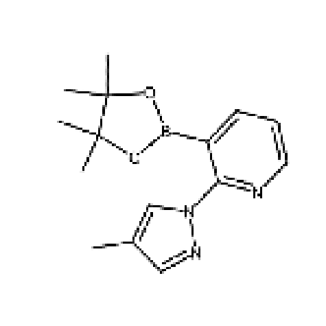 Cc1cnn(-c2ncccc2B2OC(C)(C)C(C)(C)O2)c1